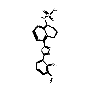 CC(=O)OS(=O)(=O)NC1CCCc2c(-c3nnc(-c4cccc(OC(C)C)c4C#N)s3)cccc21